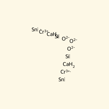 [CaH2].[CaH2].[Cr+3].[Cr+3].[O-2].[O-2].[O-2].[Si].[Si].[Sn].[Sn]